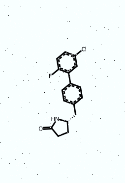 O=C1CC[C@@H](Cc2ccc(-c3cc(Cl)ccc3F)cc2)N1